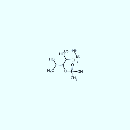 CC(O)N(OP(C)(=O)O)C(C)O.CCNCC